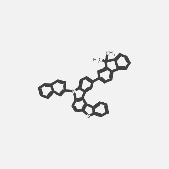 CC1(C)c2ccccc2-c2ccc(-c3ccc4c(c3)c3c5c(ccc3n4-c3ccc4ccccc4c3)sc3ccccc35)cc21